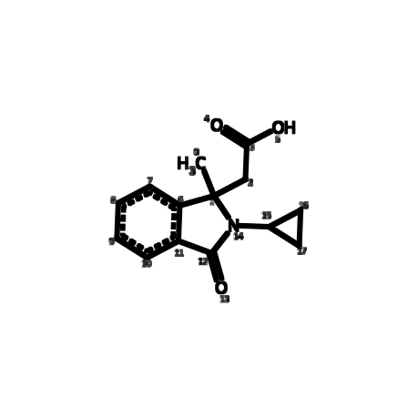 CC1(CC(=O)O)c2ccccc2C(=O)N1C1CC1